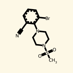 CS(=O)(=O)N1CCN(c2c(Br)cccc2C#N)CC1